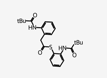 CC(C)(C)C(=O)Nc1ccccc1CC(=O)Sc1ccccc1NC(=O)C(C)(C)C